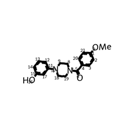 COc1ccc(C(=O)N2CCN(c3cccc(O)c3)CC2)cc1